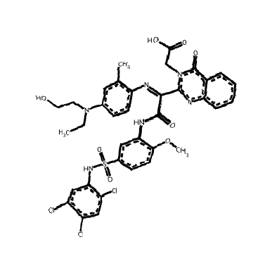 CCN(CCO)c1ccc(/N=C(\C(=O)Nc2cc(S(=O)(=O)Nc3cc(Cl)c(Cl)cc3Cl)ccc2OC)c2nc3ccccc3c(=O)n2CC(=O)O)c(C)c1